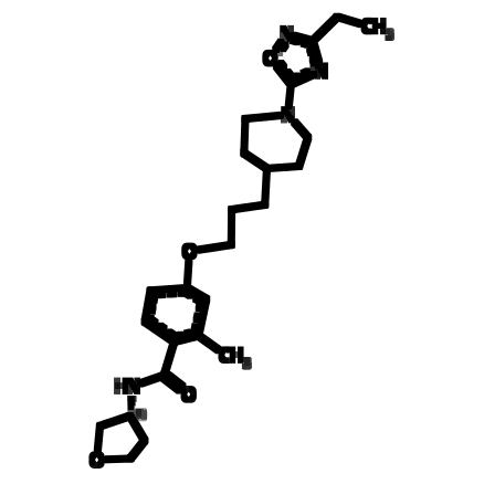 CCc1noc(N2CCC(CCCOc3ccc(C(=O)N[C@@H]4CCOC4)c(C)c3)CC2)n1